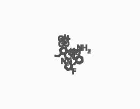 CCc1cc(OS(=O)(=O)N(C)C)cc(OCC(N)=O)c1-c1nc2ccc(F)cn2c1Nc1c(C)cccc1C